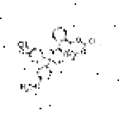 COc1ccc(C2(c3ccc(OC)cc3)C=Cc3c(C)c(OC(C)=O)c4ccccc4c3O2)cc1